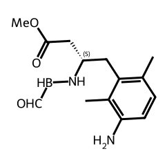 COC(=O)C[C@H](Cc1c(C)ccc(N)c1C)NBC=O